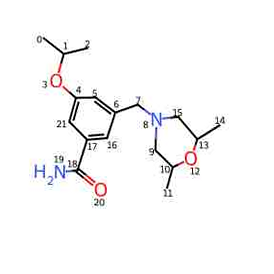 CC(C)Oc1cc(CN2CC(C)OC(C)C2)cc(C(N)=O)c1